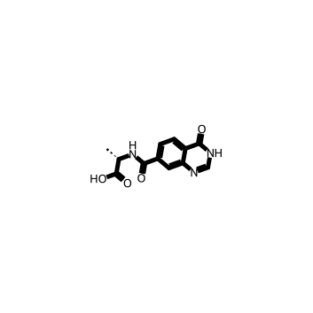 C[C@H](NC(=O)c1ccc2c(=O)[nH]cnc2c1)C(=O)O